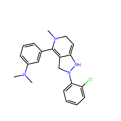 CN1CC=C2NN(c3ccccc3Cl)CC2=C1c1cccc(N(C)C)c1